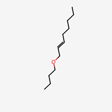 CCCCC/C=C/COCCCC